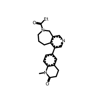 CCC(=O)N1CCCc2c(cncc2-c2ccc3c(c2)CCC(=O)N3C)C1